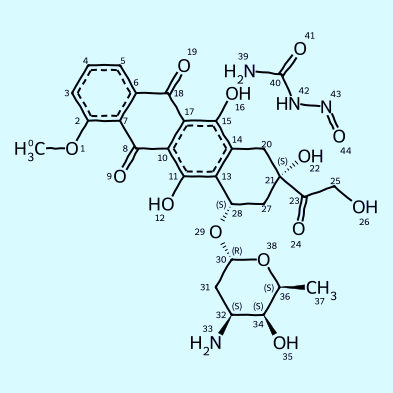 COc1cccc2c1C(=O)c1c(O)c3c(c(O)c1C2=O)C[C@@](O)(C(=O)CO)C[C@@H]3O[C@H]1C[C@H](N)[C@H](O)[C@H](C)O1.NC(=O)NN=O